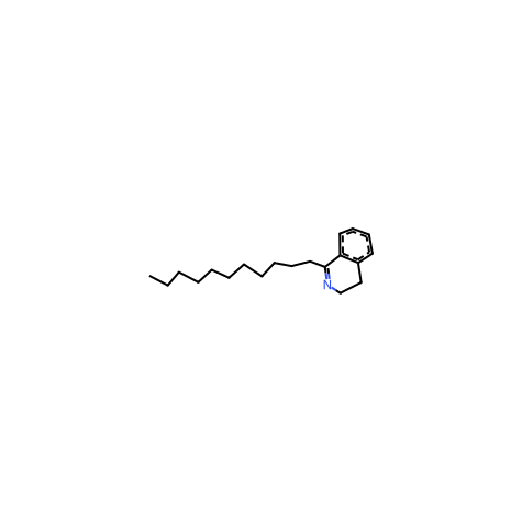 CCCCCCCCCCCC1=NCCc2ccccc21